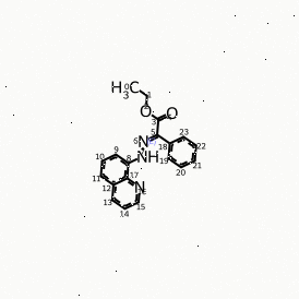 CCOC(=O)/C(=N/Nc1cccc2cccnc12)c1ccccc1